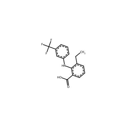 CCc1cccc(C(=O)O)c1Nc1cccc(C(F)(F)F)c1